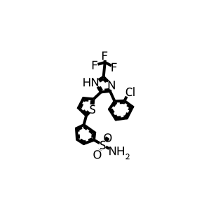 NS(=O)(=O)c1cccc(-c2ccc(-c3[nH]c(C(F)(F)F)nc3-c3ccccc3Cl)s2)c1